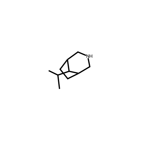 CC(C)C1C2CCC1CNC2